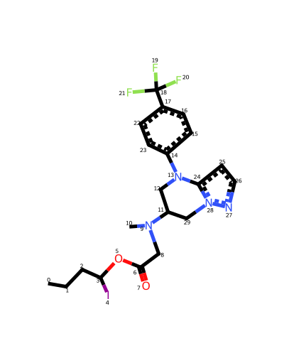 CCCC(I)OC(=O)CN(C)C1CN(c2ccc(C(F)(F)F)cc2)c2ccnn2C1